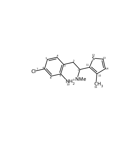 CNC(Cc1ccc(Cl)cc1N)c1sccc1C